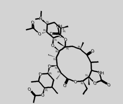 CC[C@H]1OC(=O)[C@H](C)[C@@H](O[C@H]2CC(C)[C@@H](OC(C)=O)C(C)O2)[C@H](C)[C@@H](O[C@@H]2O[C@H](C)C[C@H](N(C)C)[C@H]2OC(C)=O)[C@](C)(OC(N)=O)C[C@@H](C)C(=O)C(C)C2NC(=O)O[C@@]21C